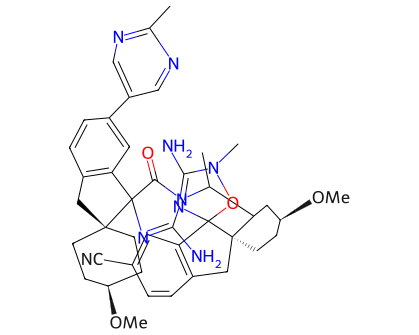 CO[C@H]1CC[C@@]2(Cc3ccc(C#N)cc3C23N=C(N)N(C)O3)C(C(C)N2C(=O)C3(N=C2N)c2cc(-c4cnc(C)nc4)ccc2C[C@]32CC[C@@H](OC)CC2)C1